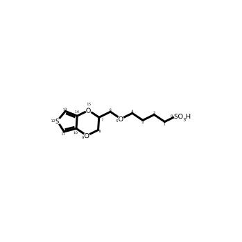 O=S(=O)(O)CCCCOCC1COc2cscc2O1